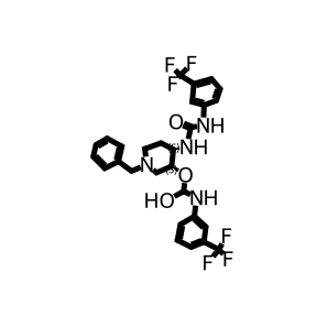 O=C(Nc1cccc(C(F)(F)F)c1)N[C@H]1CCN(Cc2ccccc2)C[C@@H]1OC(O)Nc1cccc(C(F)(F)F)c1